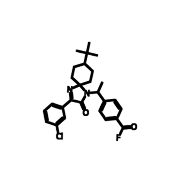 CC(c1ccc(C(=O)F)cc1)N1C(=O)C(c2cccc(Cl)c2)=NC12CCC(C(C)(C)C)CC2